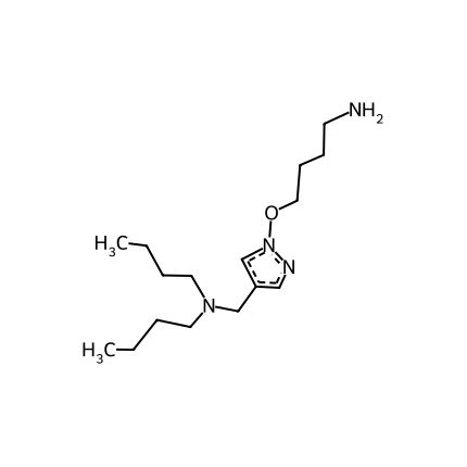 CCCCN(CCCC)Cc1cnn(OCCCCN)c1